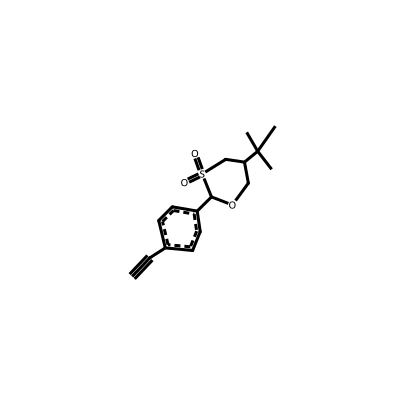 C#Cc1ccc(C2OCC(C(C)(C)C)CS2(=O)=O)cc1